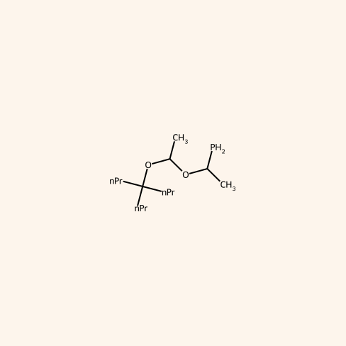 CCCC(CCC)(CCC)OC(C)OC(C)P